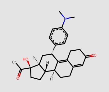 CCC(=O)[C@@]1(O)CC[C@H]2[C@@H]3CCC4=CC(=O)CCC4=C3[C@@H](c3ccc(N(C)C)cc3)C[C@@]21C